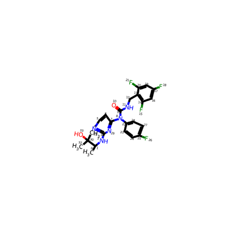 CC(Nc1nccc(N(C(=O)NCc2c(F)cc(F)cc2F)c2ccc(F)cc2)n1)C(C)(C)O